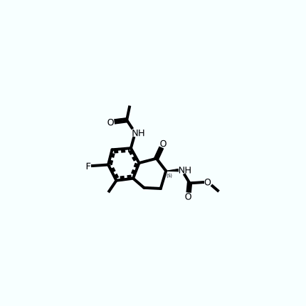 COC(=O)N[C@H]1CCc2c(C)c(F)cc(NC(C)=O)c2C1=O